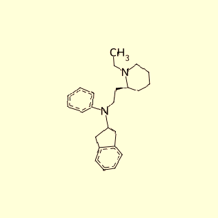 CCN1CCCC[C@H]1CCN(c1ccccc1)C1Cc2ccccc2C1